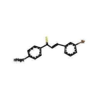 CCCCCCCc1ccc(C(=S)C=Cc2cccc(Br)c2)cc1